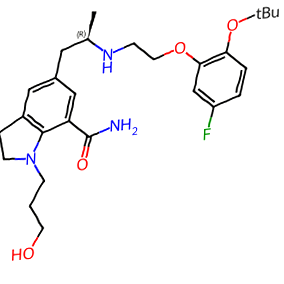 C[C@H](Cc1cc2c(c(C(N)=O)c1)N(CCCO)CC2)NCCOc1cc(F)ccc1OC(C)(C)C